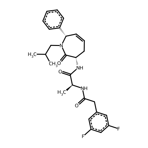 CC(C)CN1C(=O)[C@@H](NC(=O)[C@H](C)NC(=O)Cc2cc(F)cc(F)c2)CC=C[C@H]1c1ccccc1